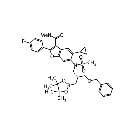 CNC(=O)c1c(-c2ccc(F)cc2)oc2cc(N(C[C@H](COCc3ccccc3)CB3OC(C)(C)C(C)(C)O3)S(C)(=O)=O)c(C3CC3)cc12